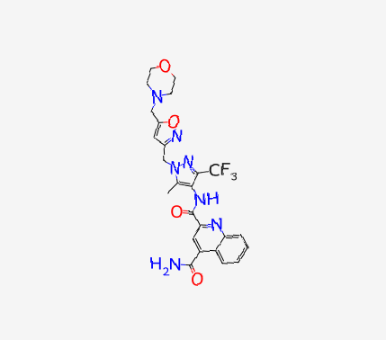 Cc1c(NC(=O)c2cc(C(N)=O)c3ccccc3n2)c(C(F)(F)F)nn1Cc1cc(CN2CCOCC2)on1